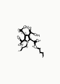 CCCCOC(=O)c1c(C(=O)O)c(C(=O)O)c(C(=O)O)n1CCC